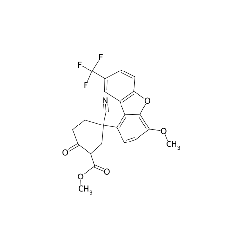 COC(=O)C1CC(C#N)(c2ccc(OC)c3oc4ccc(C(F)(F)F)cc4c23)CCC1=O